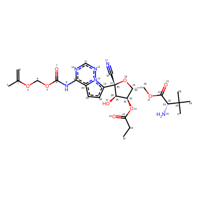 C=C(C)OCOC(=O)Nc1ncnn2c([C@]3(C#N)O[C@H](COC(=O)[C@@H](N)C(C)(C)C)[C@@H](OC(=O)CC)[C@H]3O)ccc12